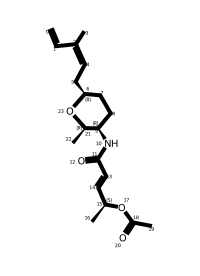 C=CC(C)=CC[C@H]1CC[C@@H](NC(=O)C=C[C@H](C)OC(C)=O)[C@@H](C)O1